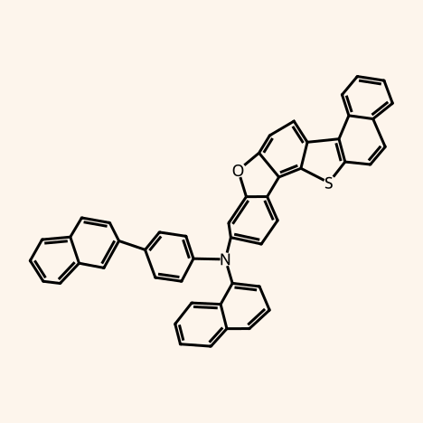 c1ccc2cc(-c3ccc(N(c4ccc5c(c4)oc4ccc6c(sc7ccc8ccccc8c76)c45)c4cccc5ccccc45)cc3)ccc2c1